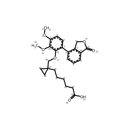 COc1ccc(-c2cccc3c2COC3=O)c(OCC2(CCCCCC(=O)O)CC2)c1OC